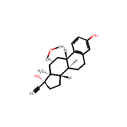 C#C[C@]1(O)CC[C@H]2[C@@H]3CCc4cc(O)ccc4[C@H]3CC[C@@]21C.COC